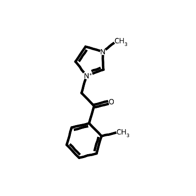 Cc1ccccc1C(=O)C[n+]1ccn(C)c1